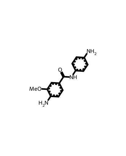 COc1cc(C(=O)Nc2ccc(N)cc2)ccc1N